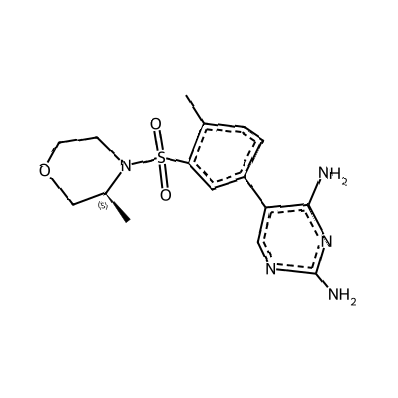 Cc1ccc(-c2cnc(N)nc2N)cc1S(=O)(=O)N1CCOC[C@@H]1C